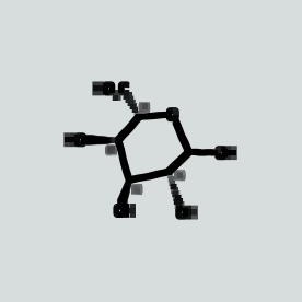 O=C(O)[C@@H]1OC(O)[C@H](O)[C@@H](O)[C@H]1O